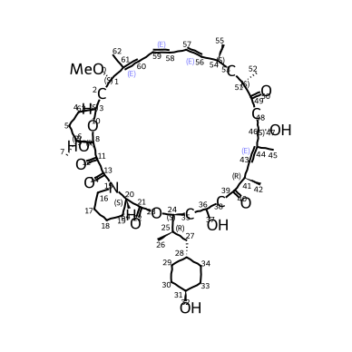 CO[C@H]1C[C@@H]2CC[C@@H](C)[C@@](O)(O2)C(=O)C(=O)N2CCCC[C@H]2C(=O)O[C@H]([C@H](C)C[C@H]2CC[C@H](O)CC2)CC(O)CC(=O)[C@H](C)/C=C(\C)[C@@H](O)CC(=O)[C@@H](C)C[C@H](C)/C=C/C=C/C=C/1C